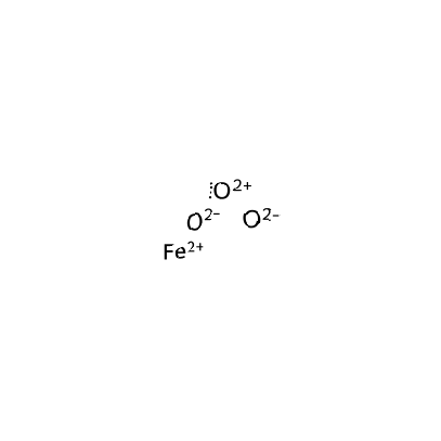 [Fe+2].[O+2].[O-2].[O-2]